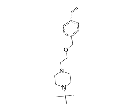 C=Cc1ccc(COCCN2CCN(C(C)(C)C)CC2)cc1